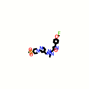 Cc1nc(-c2cc(-c3ccc(OCF)cc3)no2)nn1Cc1ccnc(N2CCC(S(C)(=O)=O)CC2)c1